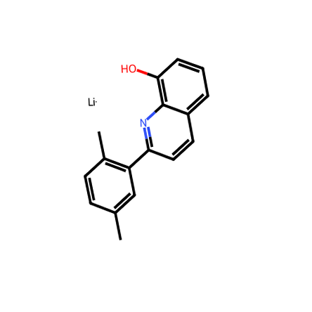 Cc1ccc(C)c(-c2ccc3cccc(O)c3n2)c1.[Li]